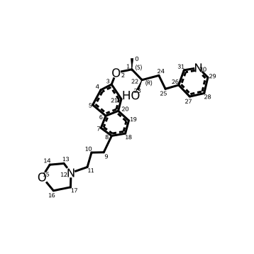 C[C@H](Oc1ccc2cc(CCCN3CCOCC3)ccc2c1)[C@H](O)CCc1cccnc1